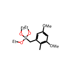 CCO[Si](Cc1cc(OC)cc(OC)c1C)(OCC)OCC